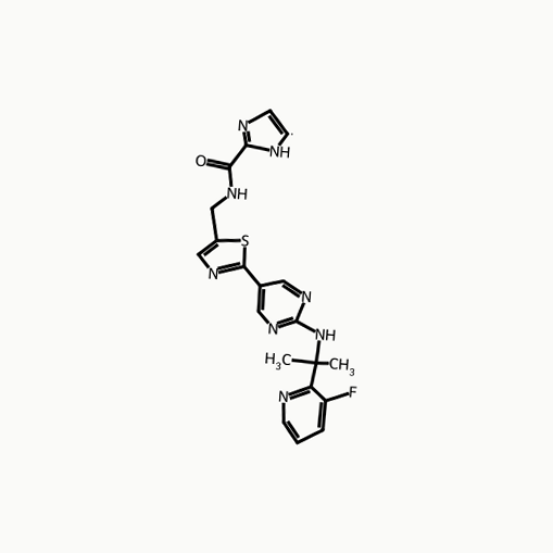 CC(C)(Nc1ncc(-c2ncc(CNC(=O)c3nc[c][nH]3)s2)cn1)c1ncccc1F